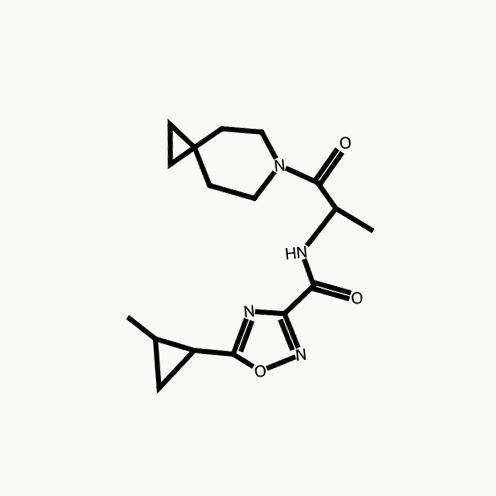 CC(NC(=O)c1noc(C2CC2C)n1)C(=O)N1CCC2(CC1)CC2